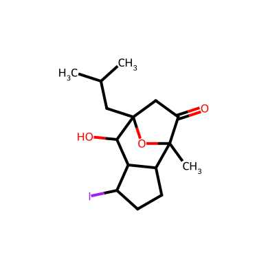 CC(C)CC12CC(=O)C(C)(O1)C1CCC(I)C1C2O